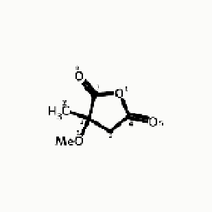 COC1(C)CC(=O)OC1=O